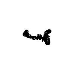 C[C@@H](COCCOCCn1cc(-c2nn(C3CCCCO3)c3c(F)cc(O[Si](C)(C)C(C)(C)C)cc23)cn1)OS(C)(=O)=O